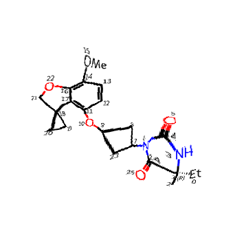 CC[C@@]1(C)NC(=O)N(C2CC(Oc3ccc(OC)c4c3C3(CC3)CO4)C2)C1=O